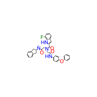 CN(C(=O)CN(CC(=O)Nc1ccc(Oc2ccccc2)cc1)C(=O)c1cc2cccc(F)c2[nH]1)C1Cc2ccccc2C1